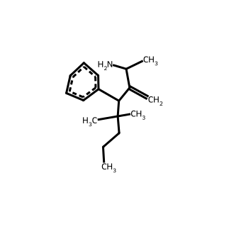 C=C(C(C)N)C(c1ccccc1)C(C)(C)CCC